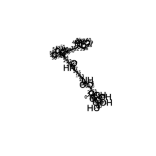 Cc1cc(-c2cccc(C(=O)NCCCCCCNC(=O)CCCCC[N+]3=C(/C=C/C=C/C=C4/c5ccc6ccccc6c5C(C)(C)N4C)C(C)(C)c4ccc5ccccc5c43)c2)ccc1OC1OC(CO)C(O)C(O)C1O